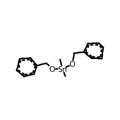 [CH3][Sn]([CH3])([O]Cc1ccccc1)[O]Cc1ccccc1